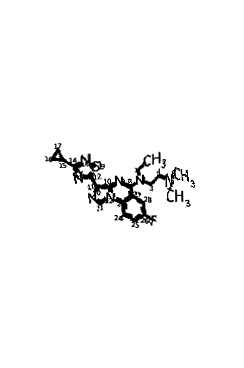 CCN(CCN(C)C)c1nc2c(-c3nc(C4CC4)no3)ncn2c2ccc(F)cc12